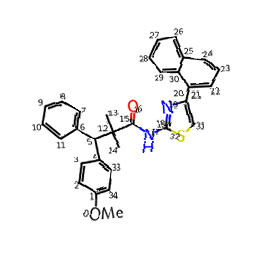 COc1ccc(C(c2ccccc2)C(C)(C)C(=O)Nc2nc(-c3cccc4ccccc34)cs2)cc1